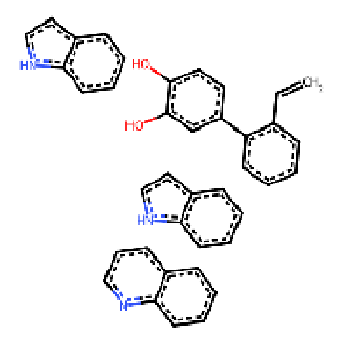 C=Cc1ccccc1-c1ccc(O)c(O)c1.c1ccc2[nH]ccc2c1.c1ccc2[nH]ccc2c1.c1ccc2ncccc2c1